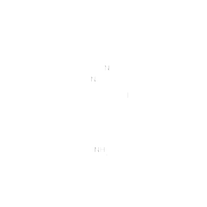 Nc1ccc(-n2cccn2)c(Cl)c1